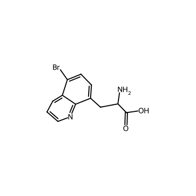 NC(Cc1ccc(Br)c2cccnc12)C(=O)O